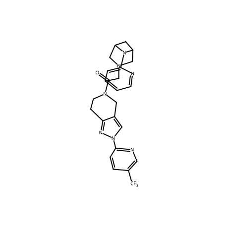 O=C(CN1CC2CC(C1)N2c1ccccn1)N1CCc2nn(-c3ccc(C(F)(F)F)cn3)cc2C1